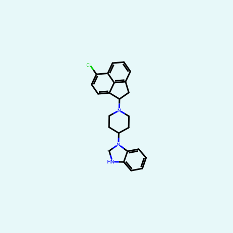 Clc1ccc2c3c(cccc13)CC2N1CCC(N2[CH]Nc3ccccc32)CC1